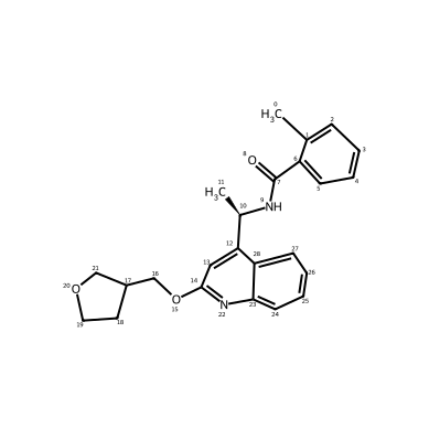 Cc1ccccc1C(=O)N[C@H](C)c1cc(OCC2CCOC2)nc2ccccc12